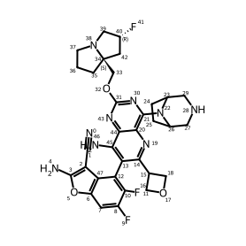 N#Cc1c(N)oc2cc(F)c(F)c(-c3c(C4COC4)nc4c(N5C6CCC5CNC6)nc(OC[C@@]56CCCN5C[C@H](F)C6)nc4c3N)c12